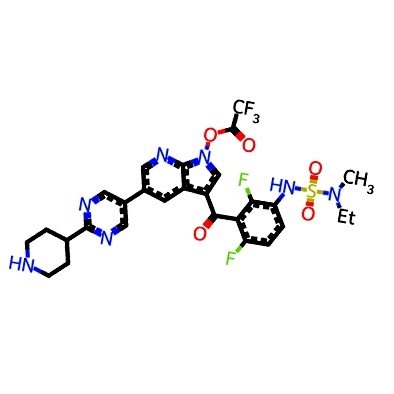 CCN(C)S(=O)(=O)Nc1ccc(F)c(C(=O)c2cn(OC(=O)C(F)(F)F)c3ncc(-c4cnc(C5CCNCC5)nc4)cc23)c1F